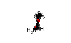 C[C@@H]1CN(CCC2CCN(c3nc(C(N)=O)c(-c4cc(F)cc(F)c4)o3)CC2)CC[C@]12CNc1cc(N)ccc12